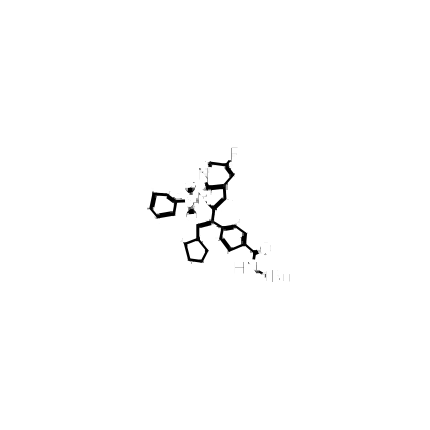 CC(C)(C)NC(=O)c1ccc(/C(=C\C2CCCC2)c2cc3cc(F)cnc3n2S(=O)(=O)c2ccccc2)cc1